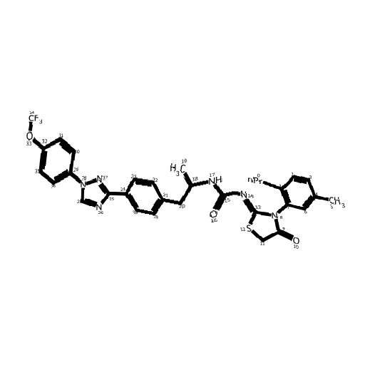 CCCc1ccc(C)cc1N1C(=O)CS/C1=N\C(=O)NC(C)Cc1ccc(-c2ncn(-c3ccc(OC(F)(F)F)cc3)n2)cc1